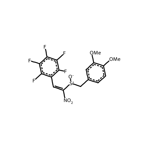 COc1ccc(C[S+]([O-])/C(=C\c2c(F)c(F)c(F)c(F)c2F)[N+](=O)[O-])cc1OC